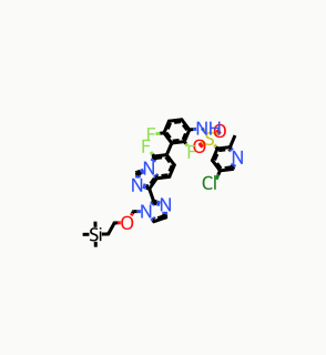 Cc1ncc(Cl)cc1S(=O)(=O)Nc1ccc(F)c(-c2ccc3c(-c4nccn4COCC[Si](C)(C)C)ncn3c2F)c1F